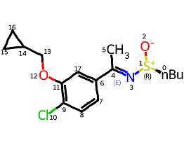 CCCC[S@+]([O-])/N=C(\C)c1ccc(Cl)c(OCC2CC2)c1